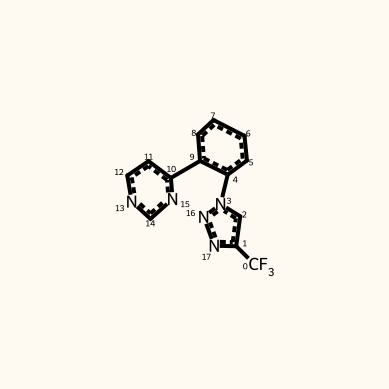 FC(F)(F)c1cn(-c2ccccc2-c2ccncn2)nn1